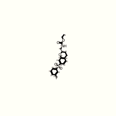 CCOC(=O)NC[C@H]1CCc2ccc(S(=O)(=O)c3cccc(F)c3)cc2O1